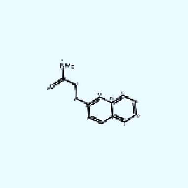 CNC(=O)CCc1ccc2ccccc2c1